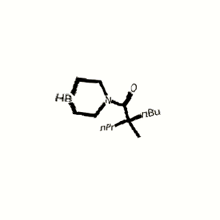 CCCCC(C)(CCC)C(=O)N1CCBCC1